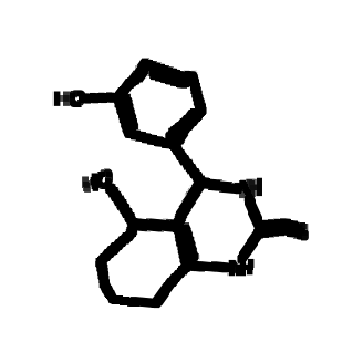 Oc1cccc(C2NC(=S)NC3=C2C(O)CCC3)c1